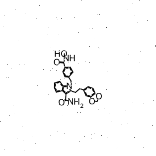 NC(=O)c1c(CCc2ccc3c(c2)OCO3)n(Cc2ccc(C(=O)NO)cc2)c2ccccc12